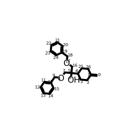 C=C1CCC(C(O)(COCc2ccccc2)COCc2ccccc2)CC1